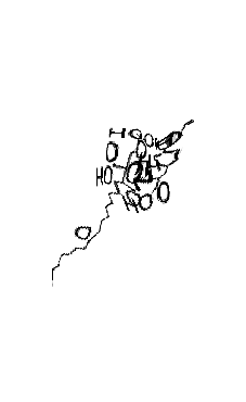 C=CCOc1ccc(C[C@H](NC(=O)[C@@H](/C=C/CCCCCCC(=O)CCCCCCC)[C@@](O)(COC(O)O)C(=O)O)C(=O)O)cc1